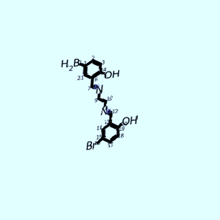 Bc1ccc(O)c(/C=N/CC/N=C/c2cc(Br)ccc2O)c1